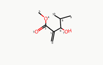 C=C(C(=O)OC)C(O)C(C)C